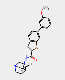 COc1cccc(-c2ccc3c(c2)SC(C(=O)N[C@H]2CN4CCC2CC4)C3)c1